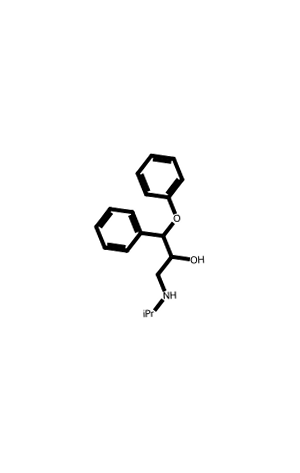 CC(C)NCC(O)C(Oc1ccccc1)c1ccccc1